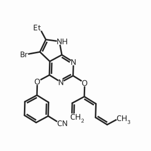 C=C/C(=C\C=C/C)Oc1nc(Oc2cccc(C#N)c2)c2c(Br)c(CC)[nH]c2n1